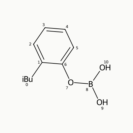 CCC(C)c1ccccc1OB(O)O